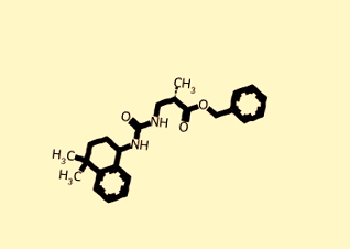 C[C@@H](CNC(=O)NC1CCC(C)(C)c2ccccc21)C(=O)OCc1ccccc1